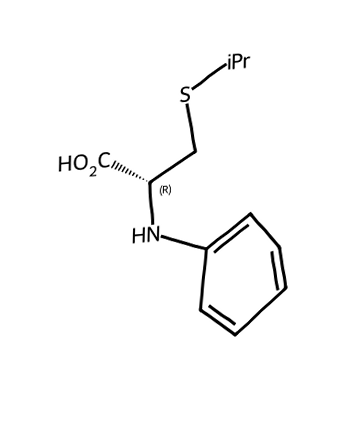 CC(C)SC[C@H](Nc1ccccc1)C(=O)O